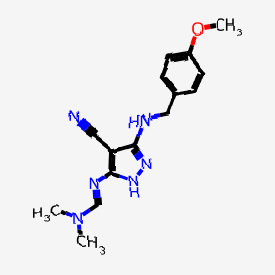 COc1ccc(CNc2n[nH]c(/N=C/N(C)C)c2C#N)cc1